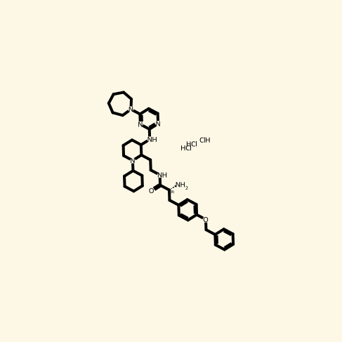 Cl.Cl.Cl.N[C@H](Cc1ccc(OCc2ccccc2)cc1)C(=O)NCCC1C(Nc2nccc(N3CCCCCC3)n2)CCCN1C1CCCCC1